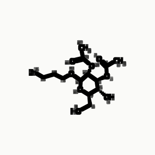 CC(=O)O[C@H]1[C@H](O)[C@@H](CO)OC(OCCCBr)[C@@H]1OC(C)=O